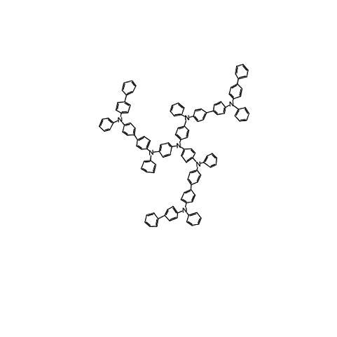 c1ccc(-c2ccc(N(c3ccccc3)c3ccc(-c4ccc(N(c5ccccc5)c5ccc(N(c6ccc(N(c7ccccc7)c7ccc(-c8ccc(N(c9ccccc9)c9ccc(-c%10ccccc%10)cc9)cc8)cc7)cc6)c6ccc(N(c7ccccc7)c7ccc(-c8ccc(N(c9ccccc9)c9ccc(-c%10ccccc%10)cc9)cc8)cc7)cc6)cc5)cc4)cc3)cc2)cc1